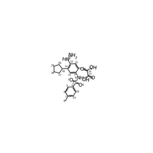 Cc1ccc(S(=O)(=O)Nc2ccc(NN)c(C3CCCC3)c2)cc1.O=C(O)C(=O)O